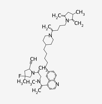 C#CC1CC(C)(F)CN1C(=C)CN(C)C(=C)c1ccnc2ccc(CCCCCC3CCN(C(=C)CCCN4C(=C)CC(C)C4=C)CC3)cc12